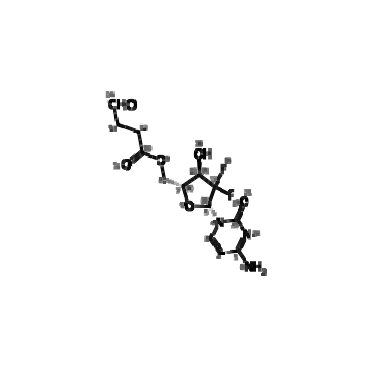 Nc1ccn([C@@H]2O[C@H]([CH]OC(=O)CCC=O)[C@@H](O)C2(F)F)c(=O)n1